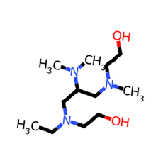 CCN(CCO)C[C](CN(C)CCO)N(C)C